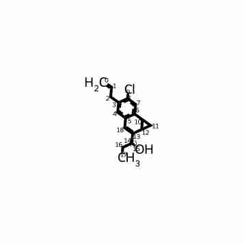 C=CCc1cc2c(cc1Cl)C1CC1C([C@@H](O)CC)=C2